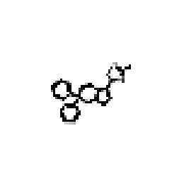 Cc1noc(C2=NCC3=C2C=CC(c2ccccc2)(c2ccccc2)C3)n1